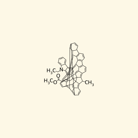 CCn1c2ccccc2c2ccc(C3(CCCC(=O)OC)C45C6=c7ccc8c9c%10c%11c8c7c4c4c7c8c%12c(ccc%13c%14ccc%15c%16c(c(c4%11)c7c(c%16%14)c%12%13)C%10C%15C=C9)=C(C6C)C835)cc21